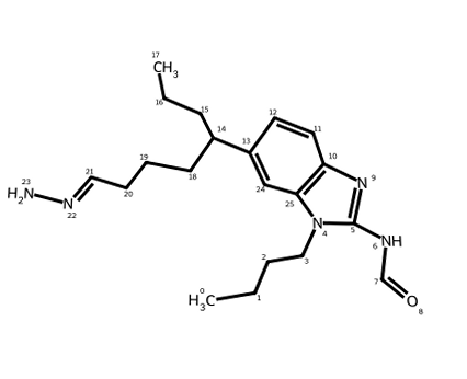 CCCCn1c(NC=O)nc2ccc(C(CCC)CCCC=NN)cc21